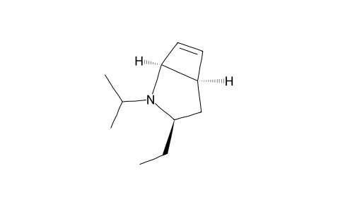 CC[C@@H]1C[C@@H]2C=C[C@@H]2N1C(C)C